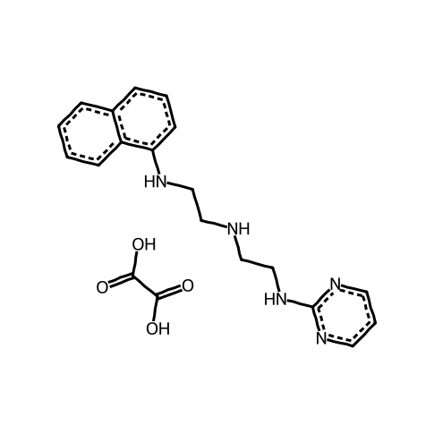 O=C(O)C(=O)O.c1cnc(NCCNCCNc2cccc3ccccc23)nc1